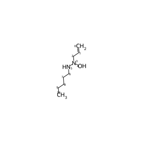 C=CCN(O)NCCCCC